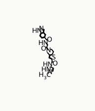 CN1C=CC(NC(=O)c2cc3c(s2)CCN(C(=O)CNC(=O)c2ccc4[nH]ncc4c2)C3)N1